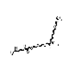 CNCCCNC(=O)COCCOCCOCC(=O)N(C)CCCCCCOCCOC